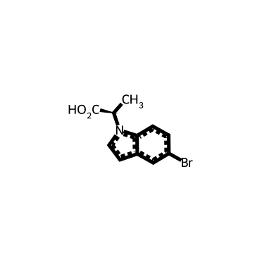 C[C@H](C(=O)O)n1ccc2cc(Br)ccc21